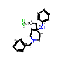 COCC1(Nc2ccccc2)CCN(Cc2ccccc2)CC1.Cl